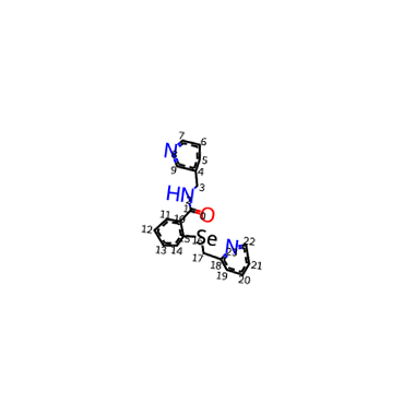 O=C(NCc1cccnc1)c1ccccc1[Se]Cc1ccccn1